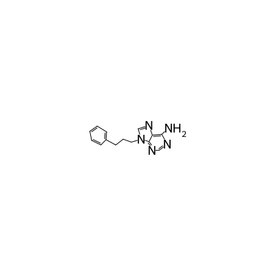 Nc1ncnc2c1ncn2CCCc1ccccc1